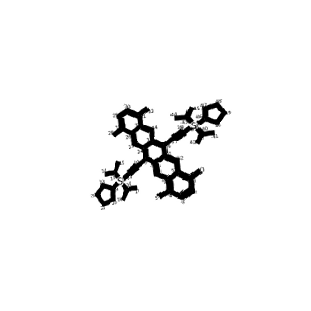 Cc1ccc(C)c2cc3c(C#C[Si](C(C)C)(C(C)C)C4CCCC4)c4cc5c(C)ccc(C)c5cc4c(C#C[Si](C(C)C)(C(C)C)C4CCCC4)c3cc12